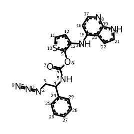 [N-]=[N+]=NCC(NC(=O)Oc1sccc1Nc1ccnc2[nH]ccc12)c1ccccc1